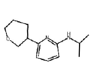 CC(C)Nc1cccc(C2CCCOC2)n1